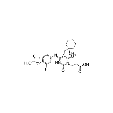 CC(C)Oc1ccc(/N=c2\[nH]c(=O)n(CCC(=O)O)c(=O)n2CC2(C)CCCCC2)cc1F